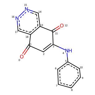 O=C1C=C(Nc2ccccc2)C(=O)c2cnncc21